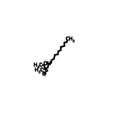 CCCCCCCCCCCCCCC(C)(P=O)C(C)O